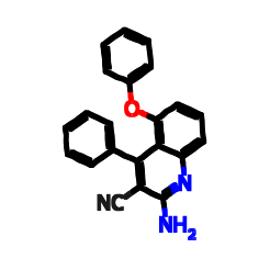 N#Cc1c(N)nc2cccc(Oc3ccccc3)c2c1-c1ccccc1